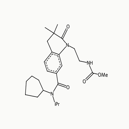 COC(=O)NCCN1C(=O)C(C)(C)Cc2ccc(C(=O)N(C(C)C)C3CCCCC3)cc21